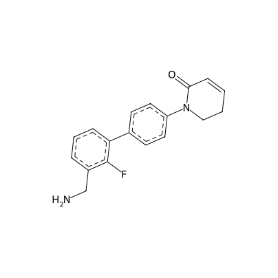 NCc1cccc(-c2ccc(N3CCC=CC3=O)cc2)c1F